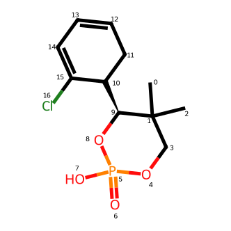 CC1(C)COP(=O)(O)O[C@H]1C1CC=CC=C1Cl